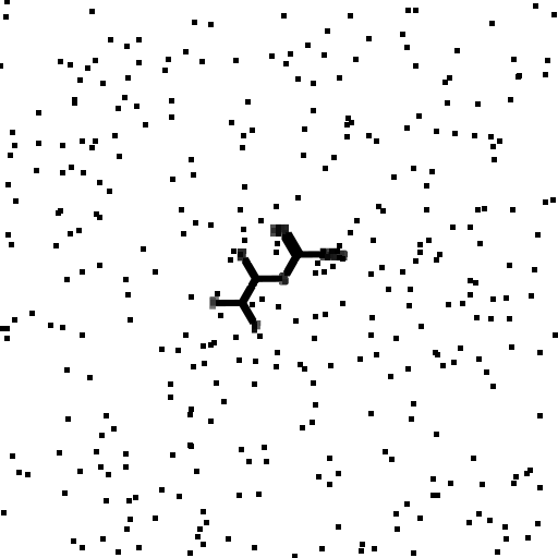 CNC(=N)SC(F)C(F)F